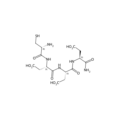 NC(=O)[C@H](CC(=O)O)NC(=O)[C@H](CC(=O)O)NC(=O)[C@H](CC(=O)O)NC(=O)[C@@H](N)CS